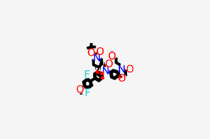 COCCCN1C(=O)COc2ccc(N(C(=O)[C@H]3CN(C(=O)OC(C)(C)C)CC[C@@H]3c3cccc(-c4cc(F)c(OC)cc4F)c3)C3CC3)cc21